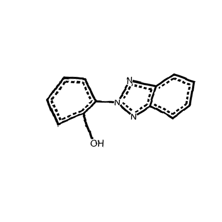 Oc1[c]cccc1-n1nc2ccccc2n1